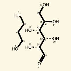 CCCCO.O=C[C@H](O)[C@@H](O)[C@H](O)[C@H](O)CO